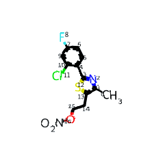 Cc1nc(-c2ccc(F)cc2Cl)sc1CCO[N+](=O)[O-]